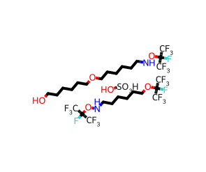 FC(F)(F)C(F)(OCCCCCCNOC(F)(C(F)(F)F)C(F)(F)F)C(F)(F)F.O=S(=O)(O)O.OCCCCCCOCCCCCCNOC(F)(C(F)(F)F)C(F)(F)F